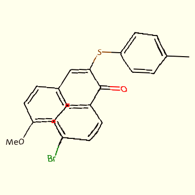 COc1ccc(/C=C(/Sc2ccc(C)cc2)C(=O)c2ccc(Br)cc2)cc1